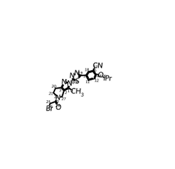 Cc1c2c(nn1-c1nnc(-c3ccc(OC(C)C)c(C#N)c3)s1)CCN(C(=O)CBr)C2